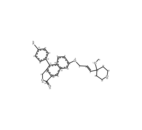 COC1(C=CCOc2ccc3c(-c4ccc(F)cc4)c4c(cc3c2)C(=O)OC4)CCOCC1